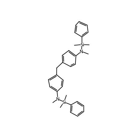 CN(c1ccc(Cc2ccc(N(C)[Si](C)(C)c3ccccc3)cc2)cc1)[Si](C)(C)c1ccccc1